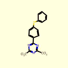 ClC(Cl)(Cl)c1nc(-c2ccc(Sc3ccccc3)cc2)nc(C(Cl)(Cl)Cl)n1